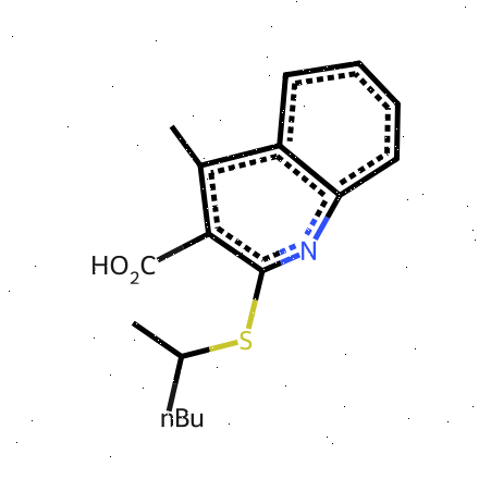 CCCCC(C)Sc1nc2ccccc2c(C)c1C(=O)O